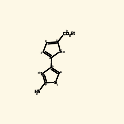 CCOC(=O)c1ccc(-c2csc(S)n2)s1